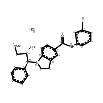 CNC[C@H](O)[C@H](c1ccccc1)N1CCc2cc(C(=O)Nc3cccc(Cl)c3)ccc21.Cl